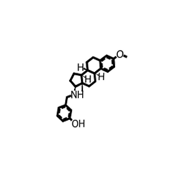 COc1ccc2c(c1)CC[C@@H]1[C@@H]2CC[C@]2(C)[C@@H](NCc3cccc(O)c3)CC[C@@H]12